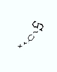 CC(C)(C)OC(=O)NC1CCN(CCn2c(=O)ccc3ncccc32)CC1